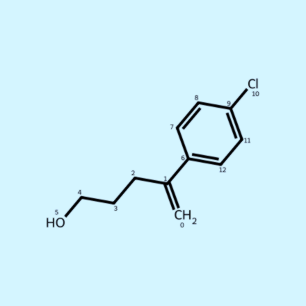 C=C(CCCO)c1ccc(Cl)cc1